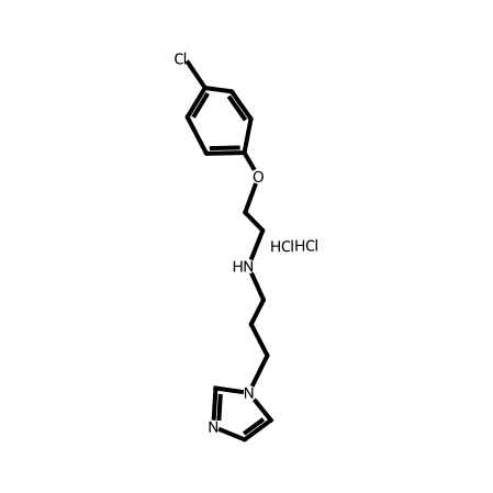 Cl.Cl.Clc1ccc(OCCNCCCn2ccnc2)cc1